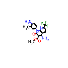 COC(=O)c1c(N)c2ccc(C(F)(F)F)nc2n(-c2ccc(N)c(C)c2)c1=O